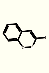 IC1=Cc2ccccc2OS1